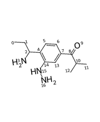 CCC(N)c1ccc(C(=O)C(C)C)cc1NN